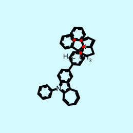 CC1(C)C2=C\CC/C(N(c3ccccc3)c3ccc(-c4ccc5c(c4)c4c(n5-c5ccccc5)C=CC=C=C4)cc3)=C/C=C\2c2ccccc21